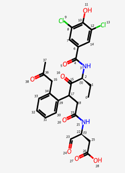 CC[C@H](NC(=O)c1cc(Cl)c(O)c(Cl)c1)C(=O)C(CC(=O)N[C@H](C=O)CC(=O)O)c1ccccc1CC(C)=O